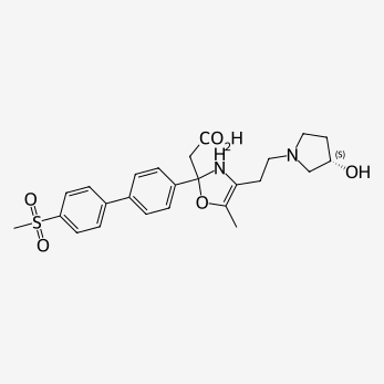 CC1=C(CCN2CC[C@H](O)C2)NC(CC(=O)O)(c2ccc(-c3ccc(S(C)(=O)=O)cc3)cc2)O1